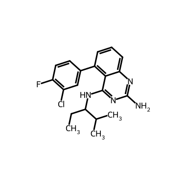 CCC(Nc1nc(N)nc2cccc(-c3ccc(F)c(Cl)c3)c12)C(C)C